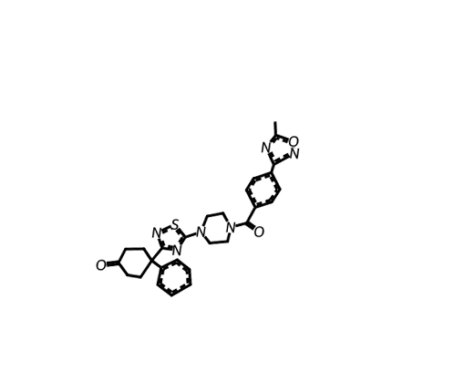 Cc1nc(-c2ccc(C(=O)N3CCN(c4nc(C5(c6ccccc6)CCC(=O)CC5)ns4)CC3)cc2)no1